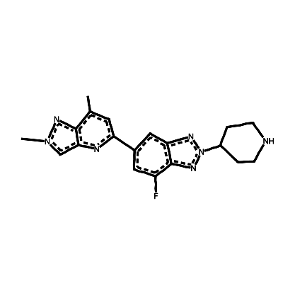 Cc1cc(-c2cc(F)c3nn(C4CCNCC4)nc3c2)nc2cn(C)nc12